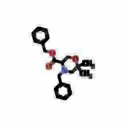 CC1(C)CN(Cc2ccccc2)C(C(=O)OCc2ccccc2)CO1